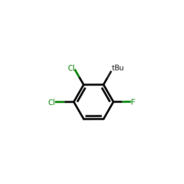 CC(C)(C)c1c(F)ccc(Cl)c1Cl